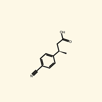 C[C@H](CC(=O)O)c1ccc(C#N)cc1